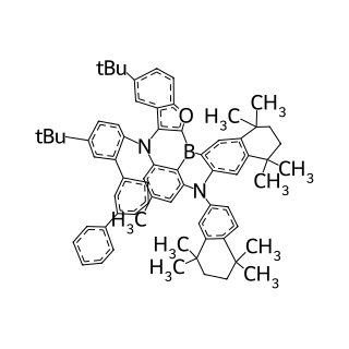 Cc1cc2c3c(c1)N(c1ccc(C(C)(C)C)cc1-c1cccc(-c4ccccc4)c1)c1c(oc4ccc(C(C)(C)C)cc14)B3c1cc3c(cc1N2c1ccc2c(c1)C(C)(C)CCC2(C)C)C(C)(C)CCC3(C)C